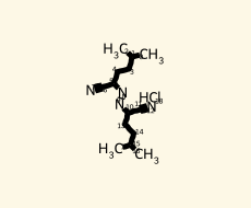 CC(C)CCC(C#N)N=NC(C#N)CCC(C)C.Cl